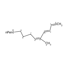 C=CC=CC(C)=CCCCCCCCC